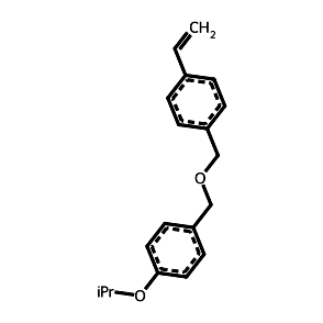 C=Cc1ccc(COCc2ccc(OC(C)C)cc2)cc1